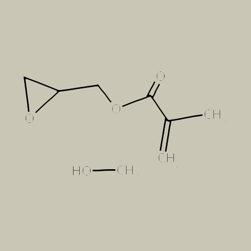 C=C(C)C(=O)OCC1CO1.CO